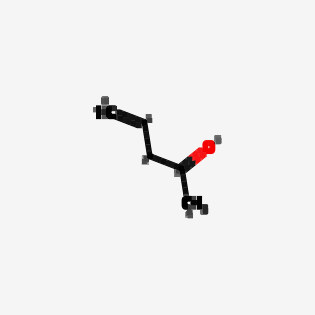 [CH]=CCC(C)=O